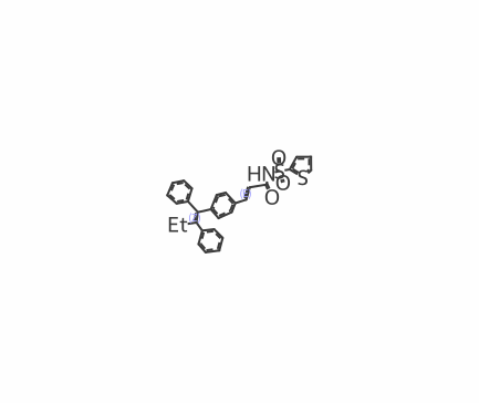 CC/C(=C(\c1ccccc1)c1ccc(/C=C/C(=O)NS(=O)(=O)c2cccs2)cc1)c1ccccc1